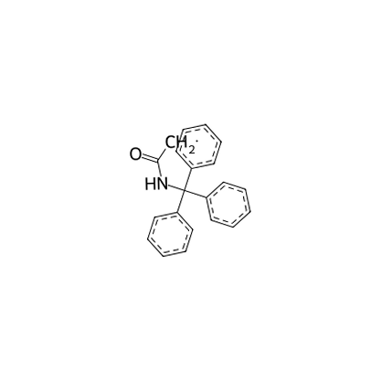 [CH2]C(=O)NC(c1ccccc1)(c1ccccc1)c1ccccc1